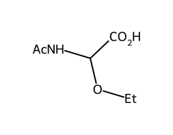 CCOC(NC(C)=O)C(=O)O